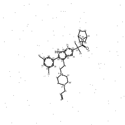 C=CCN1CCN(CCc2c(-c3cc(C)cc(C)c3)[nH]c3sc(C(C)(C)C(=O)N4C5CCC4CC5)cc23)CC1